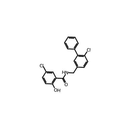 O=C(NCc1ccc(Cl)c(-c2ccccc2)c1)c1cc(Cl)ccc1O